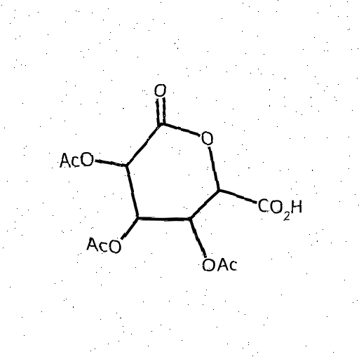 CC(=O)OC1C(=O)OC(C(=O)O)C(OC(C)=O)C1OC(C)=O